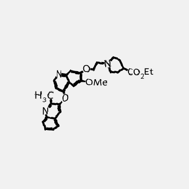 CCOC(=O)C1CCN(CCOc2cc3nccc(Oc4cc5ccccc5nc4C)c3cc2OC)CC1